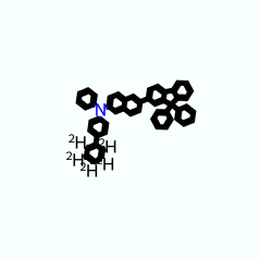 [2H]c1c([2H])c([2H])c(-c2ccc(N(c3ccccc3)c3ccc4cc(-c5ccc6c(c5)C(c5ccccc5)(c5ccccc5)c5ccccc5-6)ccc4c3)cc2)c([2H])c1[2H]